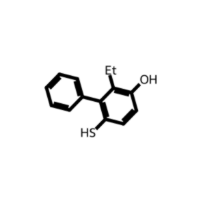 CCc1c(O)ccc(S)c1-c1ccccc1